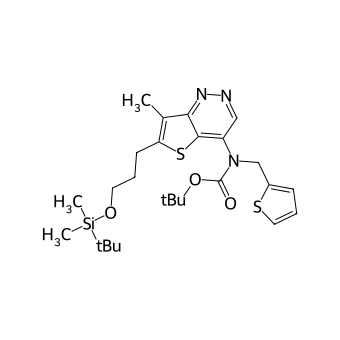 Cc1c(CCCO[Si](C)(C)C(C)(C)C)sc2c(N(Cc3cccs3)C(=O)OC(C)(C)C)cnnc12